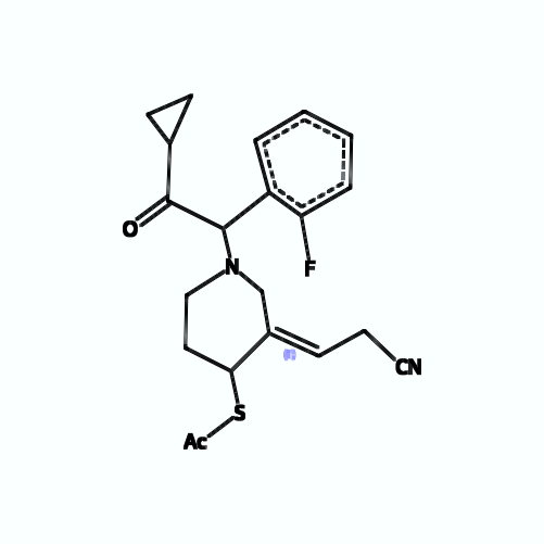 CC(=O)SC1CCN(C(C(=O)C2CC2)c2ccccc2F)C/C1=C\CC#N